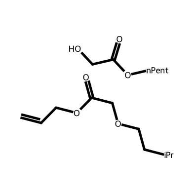 C=CCOC(=O)COCCC(C)C.CCCCCOC(=O)CO